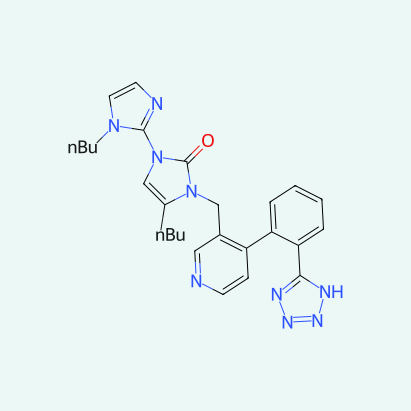 CCCCc1cn(-c2nccn2CCCC)c(=O)n1Cc1cnccc1-c1ccccc1-c1nnn[nH]1